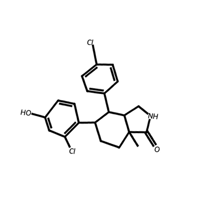 CC12CCC(c3ccc(O)cc3Cl)C(c3ccc(Cl)cc3)C1CNC2=O